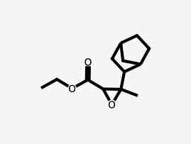 CCOC(=O)C1OC1(C)C1CC2CCC1C2